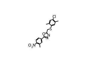 Cc1cc(SCc2nnc(-c3ccc([N+](=O)[O-])c(C)c3)o2)c(C)cc1Cl